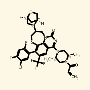 C=CC(=O)N1C[C@H](C)N(c2nc(=O)n3c4c(c(-c5cc(Cl)c(F)cc5F)c(C(F)(F)F)cc24)SCC(N2C[C@@H]4C[C@H]2CO4)C3)C[C@H]1C